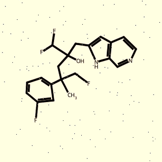 CC(CF)(CC(O)(Cc1cc2ccncc2[nH]1)C(F)F)c1cccc(F)c1